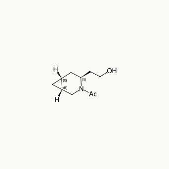 CC(=O)N1C[C@@H]2C[C@@H]2C[C@H]1CCO